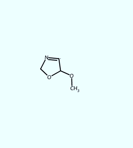 COC1[C]=NCO1